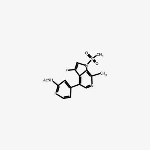 CC(=O)Nc1cc(-c2cnc(C)c3c2c(F)cn3S(C)(=O)=O)ccn1